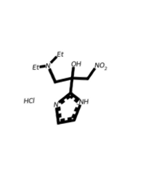 CCN(CC)CC(O)(C[N+](=O)[O-])c1ncc[nH]1.Cl